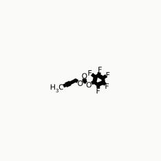 CC#CCOC(=O)Oc1c(F)c(F)c(F)c(F)c1F